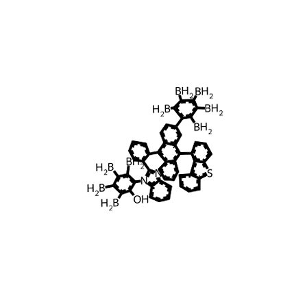 Bc1c(B)c(B)c(-c2ccc3c(-c4ccccc4-c4nc5ccccc5n4-c4c(B)c(B)c(B)c(B)c4O)c4ccccc4c(-c4cccc5sc6ccccc6c45)c3c2)c(B)c1B